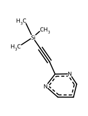 C[Si](C)(C)C#Cc1ncccn1